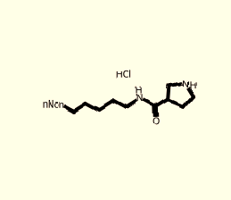 CCCCCCCCCCCCCCNC(=O)C1CCNC1.Cl